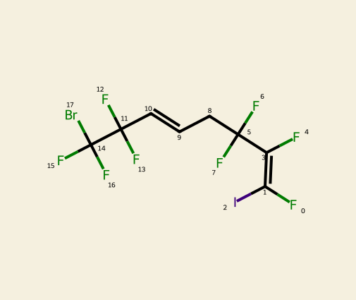 FC(I)=C(F)C(F)(F)CC=CC(F)(F)C(F)(F)Br